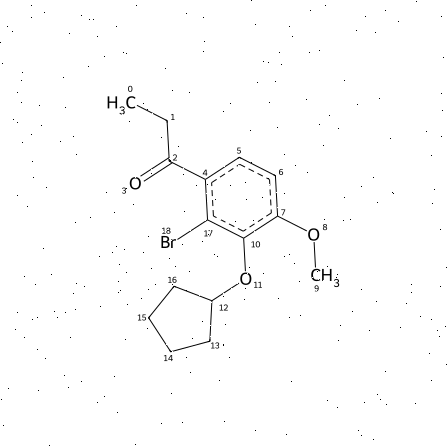 CCC(=O)c1ccc(OC)c(OC2CCCC2)c1Br